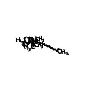 CCCCCCCCCCCCCCCCC(C)[n+]1ccn(CC)c1C(C)C